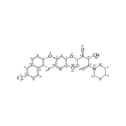 CC(Oc1cc(Oc2ccc3cc(C(F)(F)F)ccc3c2)c(F)cc1Cl)C(=O)C(C#N)C(=O)N1CCCCC1